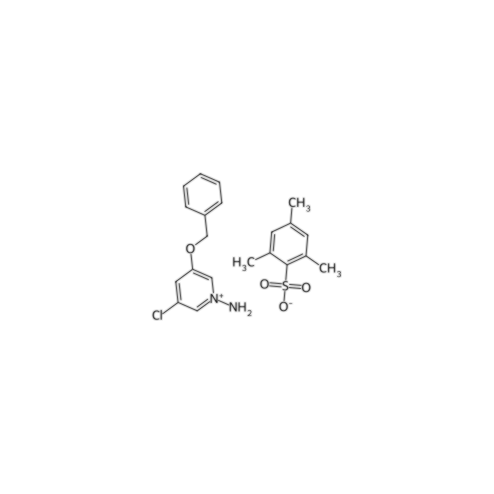 Cc1cc(C)c(S(=O)(=O)[O-])c(C)c1.N[n+]1cc(Cl)cc(OCc2ccccc2)c1